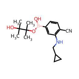 CC(C)(O)C(C)(C)OB(O)c1ccc(C#N)c(NCC2CC2)c1